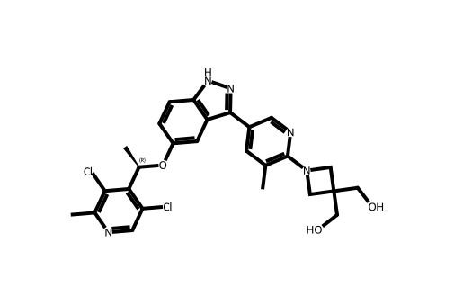 Cc1cc(-c2n[nH]c3ccc(O[C@H](C)c4c(Cl)cnc(C)c4Cl)cc23)cnc1N1CC(CO)(CO)C1